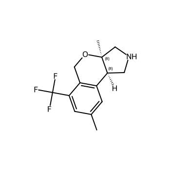 Cc1cc2c(c(C(F)(F)F)c1)CO[C@@]1(C)CNC[C@@H]21